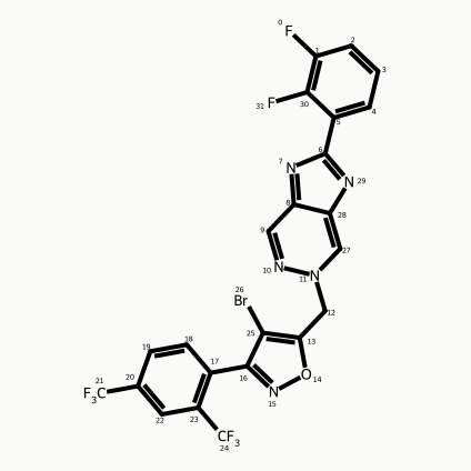 Fc1cccc(-c2nc3cnn(Cc4onc(-c5ccc(C(F)(F)F)cc5C(F)(F)F)c4Br)cc-3n2)c1F